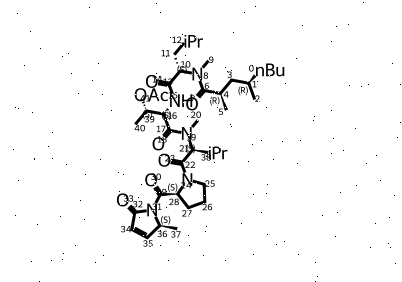 CCCC[C@@H](C)C[C@@H](C)C(=O)N(C)[C@@H](CC(C)C)C(=O)N[C@H](C(=O)N(C)[C@H](C(=O)N1CCC[C@H]1C(=O)N1C(=O)C=C[C@@H]1C)C(C)C)[C@H](C)OC(C)=O